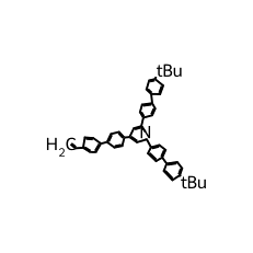 C=Cc1ccc(-c2ccc(-c3cc(-c4ccc(-c5ccc(C(C)(C)C)cc5)cc4)nc(-c4ccc(-c5ccc(C(C)(C)C)cc5)cc4)c3)cc2)cc1